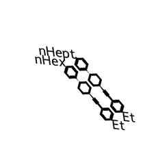 CCCCCCCc1ccc([C@H]2CC[C@H](C#Cc3ccc(CC)cc3)CC2)cc1.CCCCCCc1ccc([C@H]2CC[C@H](C#Cc3ccc(CC)cc3)CC2)cc1